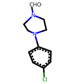 O=[C]N1CCN(c2ccc(Cl)cc2)CC1